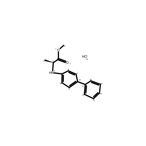 COC(=O)[C@H](C)Nc1ccc(-c2ccccc2)cc1.Cl